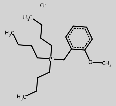 CCCC[P+](CCCC)(CCCC)Cc1ccccc1OC.[Cl-]